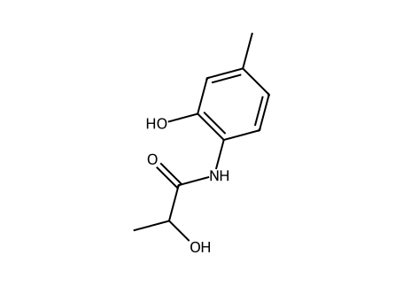 Cc1ccc(NC(=O)C(C)O)c(O)c1